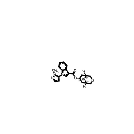 Cn1nccc1-n1cc(C(=O)O[C@H]2C[C@H]3COC[C@@H](C2)N3)c2ccccc21